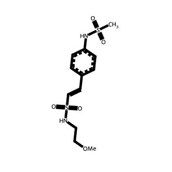 COCCNS(=O)(=O)C=Cc1ccc(NS(C)(=O)=O)cc1